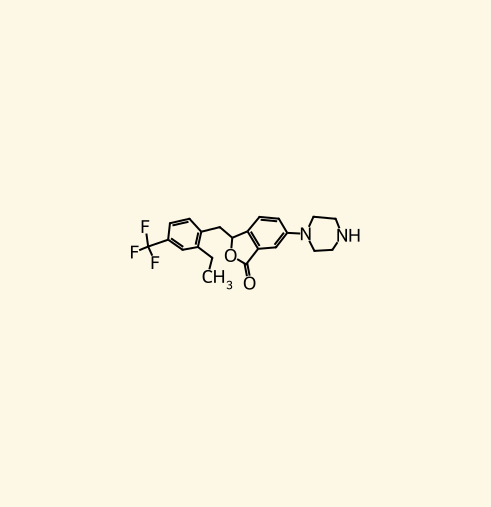 CCc1cc(C(F)(F)F)ccc1CC1OC(=O)c2cc(N3CCNCC3)ccc21